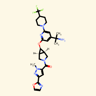 Cn1nc(-c2ncco2)cc1C(=O)N1C[C@@H]2[C@H](C1)[C@@H]2Oc1cc(C(C)(C)N)cc(N2CCC(C(F)(F)F)CC2)n1